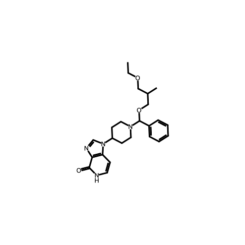 CCOCC(C)COC(c1ccccc1)N1CCC(n2cnc3c(=O)[nH]ccc32)CC1